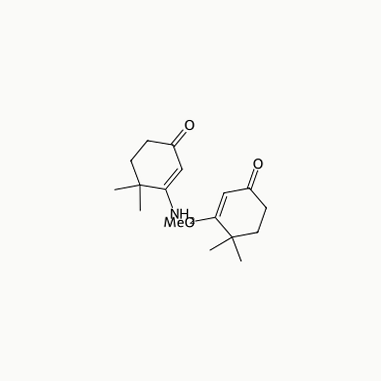 CC1(C)CCC(=O)C=C1N.COC1=CC(=O)CCC1(C)C